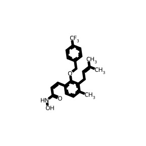 CC(C)=CCc1c(C)ccc(/C=C\C(=O)NO)c1OCc1ccc(C(F)(F)F)cc1